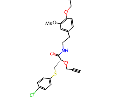 C#CCOc1ccc(CCNC(=O)[C@@H](CSc2ccc(Cl)cc2)OCC#C)cc1OC